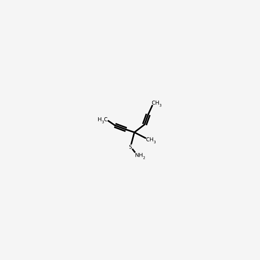 CC#CC(C)(C#CC)SN